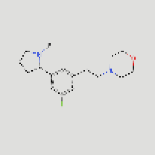 CCN1CCCC1c1cc(F)cc(CCN2CCOCC2)c1